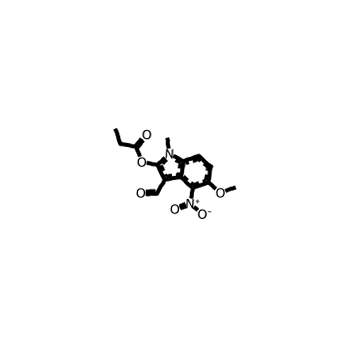 CCC(=O)Oc1c(C=O)c2c([N+](=O)[O-])c(OC)ccc2n1C